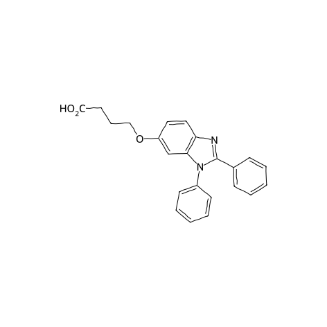 O=C(O)CCCOc1ccc2nc(-c3ccccc3)n(-c3ccccc3)c2c1